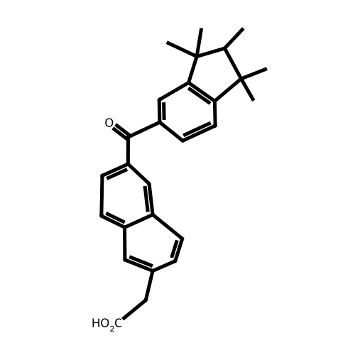 CC1C(C)(C)c2ccc(C(=O)c3ccc4cc(CC(=O)O)ccc4c3)cc2C1(C)C